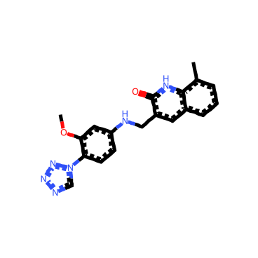 COc1cc(NCc2cc3cccc(C)c3[nH]c2=O)ccc1-n1cnnn1